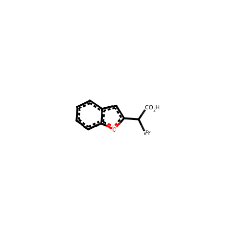 CC(C)C(C(=O)O)c1cc2ccccc2o1